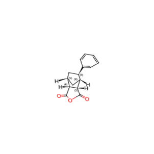 O=C1OC(=O)[C@H]2[C@@H]3C[C@@H](C[C@H]3c3ccccc3)[C@@H]12